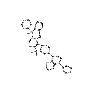 CC1(C)c2cc(-c3ccc(-c4ccccc4)c4ccccc34)ccc2-c2c1ccc1c2Sc2ccccc2[Si]1(C)c1ccccc1